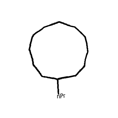 CCCC1CCCCCCCCCCC1